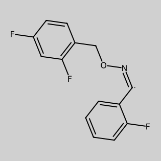 Fc1ccc(CO/N=[C]\c2ccccc2F)c(F)c1